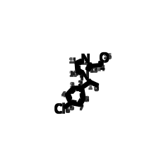 CC(c1ccc(Cl)cc1)n1[c]cnc1C=O